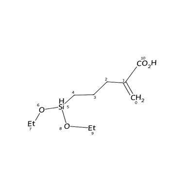 C=C(CCC[SiH](OCC)OCC)C(=O)O